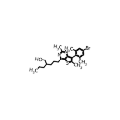 CCCC(CO)CCCc1nc(C)nc2c(-c3c(C)cc(Br)cc3C)c(C)sc12